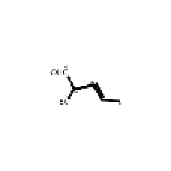 CC=CC([C]=O)CC